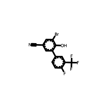 N#Cc1cc(Br)c(O)c(-c2ccc(F)c(C(F)(F)F)c2)c1